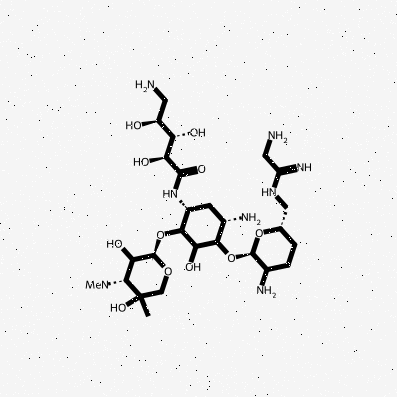 CN[C@@H]1C(O)[C@@H](OC2C(O)C(O[C@H]3O[C@H](CNC(=N)CN)CCC3N)[C@@H](N)C[C@H]2NC(=O)[C@@H](O)[C@@H](O)[C@@H](O)CN)OCC1(C)O